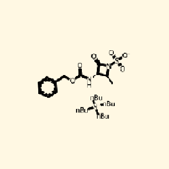 CCCC[N+](CCCC)(CCCC)CCCC.C[C@H]1[C@H](NC(=O)OCc2ccccc2)C(=O)N1S(=O)(=O)[O-]